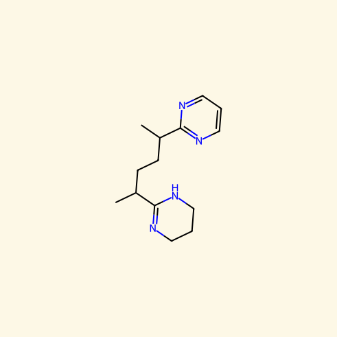 CC(CCC(C)c1ncccn1)C1=NCCCN1